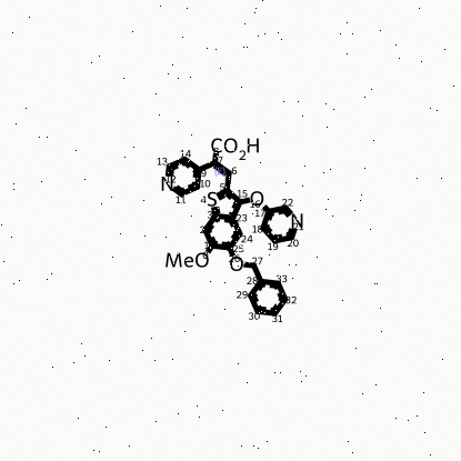 COc1cc2sc(/C=C(/C(=O)O)c3ccncc3)c(Oc3cccnc3)c2cc1OCc1ccccc1